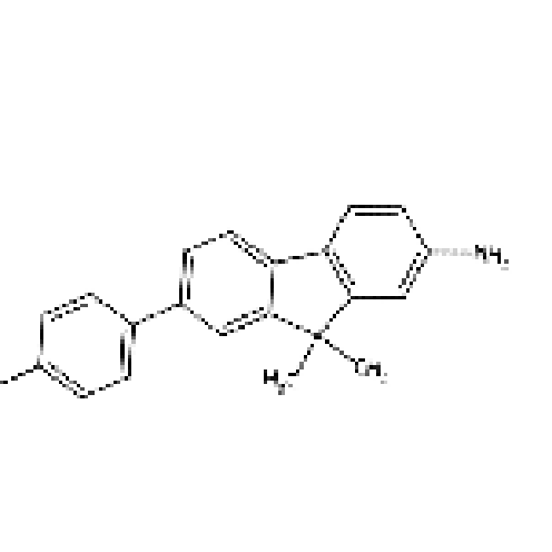 CC1(C)c2cc(N)ccc2-c2ccc(-c3ccc(Br)cc3)cc21